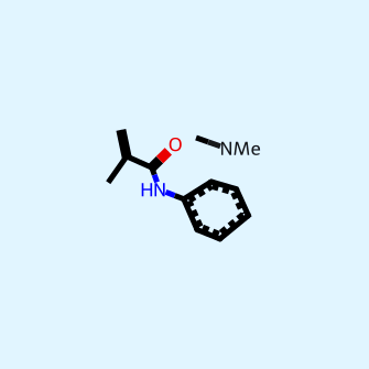 C=C(C)C(=O)Nc1ccccc1.CNC